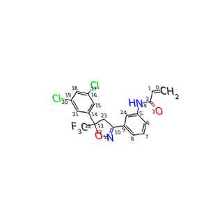 C=CC(=O)Nc1cccc(C2=NOC(c3cc(Cl)cc(Cl)c3)(C(F)(F)F)C2)c1